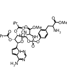 COC(=O)C(N)Cc1ccc(OP(=O)(NC(C)C(=O)OC)OC[C@@]2(C#N)O[C@@H](c3ccc4c(N)ncnn34)[C@H](OC(=O)C(C)C)[C@@H]2OC(=O)C(C)C)cc1